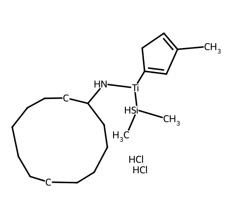 CC1=CC[C]([Ti]([NH]C2CCCCCCCCCCC2)[SiH](C)C)=C1.Cl.Cl